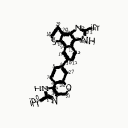 CC(C)c1nc2c([nH]1)-c1ccc(-c3ccc4c(c3)c3sccc3c3nc(C(C)C)[nH]c43)cc1OC2